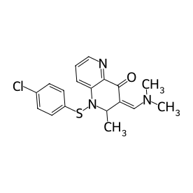 CC1/C(=C/N(C)C)C(=O)c2ncccc2N1Sc1ccc(Cl)cc1